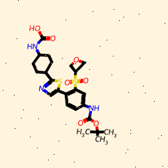 CC(C)(C)OC(=O)Nc1ccc(-c2cnc(C3CCC(NC(=O)O)CC3)s2)c(S(=O)(=O)C2COC2)c1